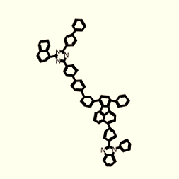 C1=CC(c2ccc(-c3ccc(-c4nc(-c5ccc(-c6ccccc6)cc5)nc(-c5cccc6ccccc56)n4)cc3)cc2)CC(c2ccc(-c3ccccc3)c3c2-c2cccc4c(-c5ccc(-c6nc7ccccc7n6-c6ccccc6)cc5)ccc-3c24)=C1